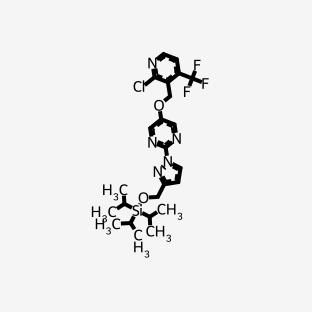 CC(C)[Si](OCc1ccn(-c2ncc(OCc3c(C(F)(F)F)ccnc3Cl)cn2)n1)(C(C)C)C(C)C